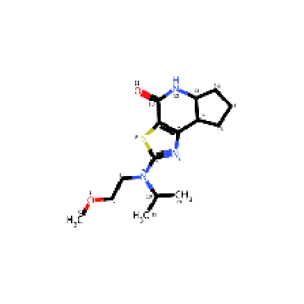 COCCN(c1nc2c(s1)C(=O)NC1CCCC21)C(C)C